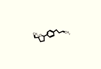 C=CCCc1ccc(C2CCC(C=C)O2)cc1